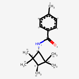 Cc1ccc(C(=O)N[C@H]2C(C)(C)[C@H](C)C2(C)C)cc1